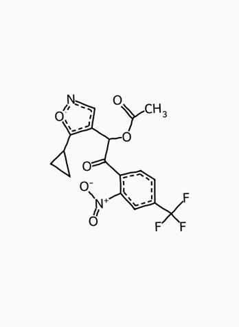 CC(=O)OC(C(=O)c1ccc(C(F)(F)F)cc1[N+](=O)[O-])c1cnoc1C1CC1